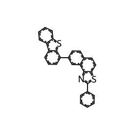 c1ccc(-c2nc3c(ccc4ccc(-c5cccc6c5sc5ccccc56)cc43)s2)cc1